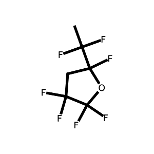 CC(F)(F)C1(F)CC(F)(F)C(F)(F)O1